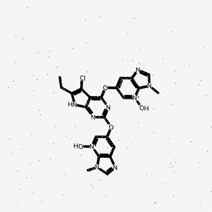 CCc1[nH]c2nc(Oc3cc4ncn(C)c4[n+](O)c3)nc(Oc3cc4ncn(C)c4[n+](O)c3)c2c1Cl